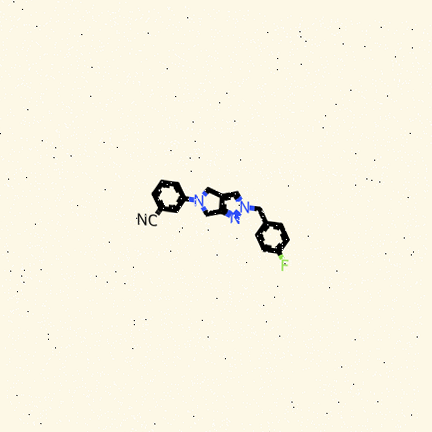 N#Cc1cccc(N2Cc3cn(Cc4ccc(F)cc4)nc3C2)c1